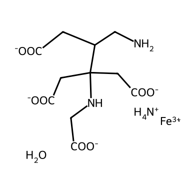 NCC(CC(=O)[O-])C(CC(=O)[O-])(CC(=O)[O-])NCC(=O)[O-].O.[Fe+3].[NH4+]